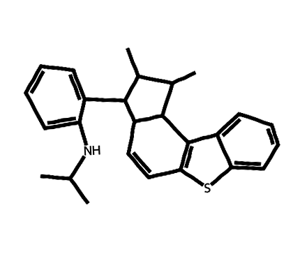 CC(C)Nc1ccccc1C1C(C)C(C)C2c3c(sc4ccccc34)C=CC12